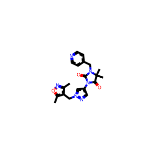 Cc1noc(C)c1Cn1cc(N2C(=O)N(Cc3ccncc3)C(C)(C)C2=O)cn1